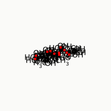 C=C(C)[C@@H]1CC[C@]2(C(=O)O[C@@H]3O[C@H](CO[C@@H]4O[C@H](CO)[C@@H](O[C@@H]5O[C@@H](C)[C@H](O)[C@@H](O)[C@H]5O)[C@H](O)[C@H]4O)[C@@H](O)[C@H](O)[C@H]3O)CC[C@]3(C)[C@H](CC[C@@H]4[C@@]5(C)CC[C@H](O[C@@H]6OC[C@H](O[C@@H]7O[C@H](CO)[C@@H](O)[C@H](O)[C@H]7O)[C@H](O)[C@H]6O[C@@H]6O[C@@H](C)[C@H](O)[C@@H](O)[C@H]6O)[C@@](C)(CO)[C@@H]5CC[C@]43C)[C@@H]12